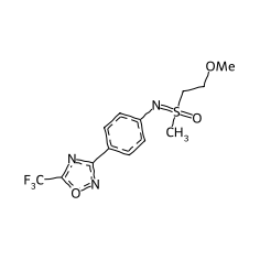 COCCS(C)(=O)=Nc1ccc(-c2noc(C(F)(F)F)n2)cc1